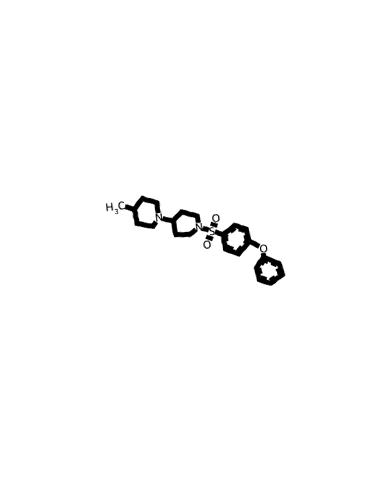 CC1CCN(C2CCN(S(=O)(=O)c3ccc(Oc4ccccc4)cc3)CC2)CC1